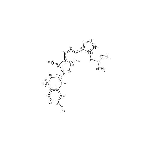 CC(C)Cn1nccc1-c1ccc2c(c1)CN([C@H](CN)Cc1cccc(F)c1)C2=O